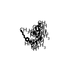 CCCCCCc1ccc(C(=O)N[C@H](CO)C(=O)N[C@H](C)C(=O)NCC(=O)N(C)C(C(=O)N[C@@H](C)C(=O)NC(CC(C)C)C(=O)NCB(O)O)C(C)O)cc1